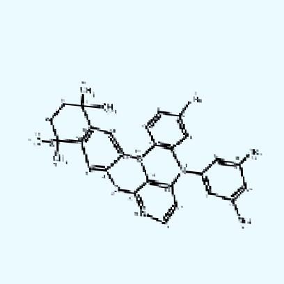 CC(C)(C)c1cc(N2c3cc(C(C)(C)C)ccc3B3c4cc5c(cc4Oc4nccc2c43)C(C)(C)CCC5(C)C)cc(C(C)(C)C)c1